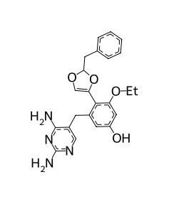 CCOc1cc(O)cc(Cc2cnc(N)nc2N)c1C1=COC(Cc2ccccc2)O1